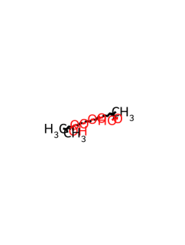 CC(=CCCOCCOCCOCCOC(O)CC(C)C)C(=O)O